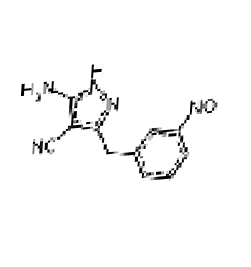 N#Cc1c(Cc2cccc(N=O)c2)n[nH]c1N